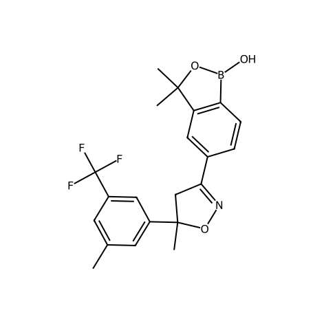 Cc1cc(C(F)(F)F)cc(C2(C)CC(c3ccc4c(c3)C(C)(C)OB4O)=NO2)c1